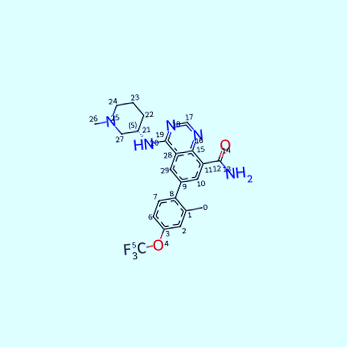 Cc1cc(OC(F)(F)F)ccc1-c1cc(C(N)=O)c2ncnc(N[C@H]3CCCN(C)C3)c2c1